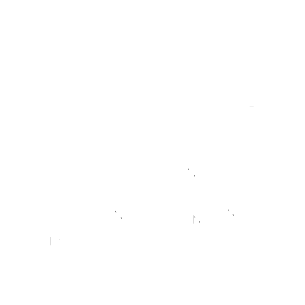 Fc1cccc(F)c1-n1cnnc1-c1cccc(Br)n1